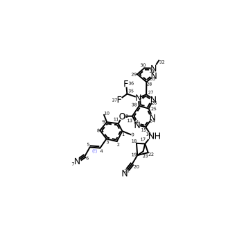 Cc1cc(/C=C/C#N)cc(C)c1Oc1nc(NC23CC(C#N)(C2)C3)nc2nc(-c3ccn(C)n3)n(C(F)F)c12